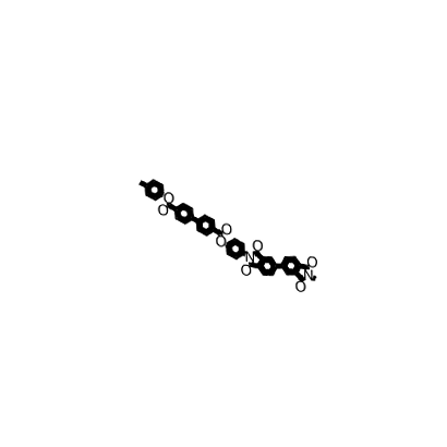 Cc1ccc(OC(=O)c2ccc(-c3ccc(C(=O)Oc4ccc(N5C(=O)c6ccc(-c7ccc8c(c7)C(=O)N(C)C8=O)cc6C5=O)cc4)cc3)cc2)cc1